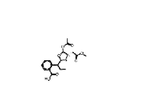 CCC(c1ccccc1C(=O)O)C1OC(OC(C)=O)[C@H](CC(=O)OC)S1